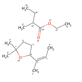 C/C=C(/C)C1CCC(C)(C)O1.CCOC(=O)C(C)CC